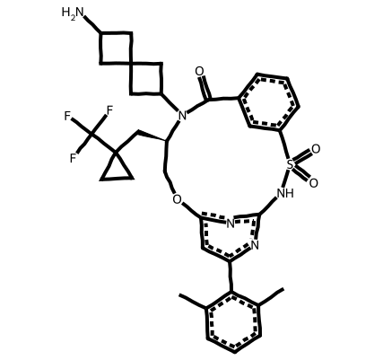 Cc1cccc(C)c1-c1cc2nc(n1)NS(=O)(=O)c1cccc(c1)C(=O)N(C1CC3(CC(N)C3)C1)[C@H](CC1(C(F)(F)F)CC1)CO2